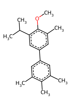 COc1c(C)cc(-c2cc(C)c(C)c(C)c2)cc1C(C)C